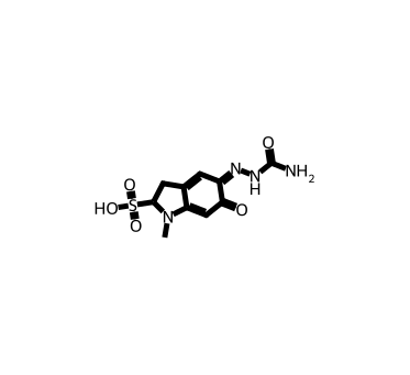 CN1C2=CC(=O)/C(=N\NC(N)=O)C=C2CC1S(=O)(=O)O